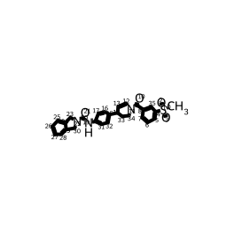 CS(=O)(=O)c1cccc(C(=O)N2C=CC(c3ccc(NC(=O)N4Cc5ccccc5C4)cc3)CC2)c1